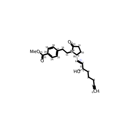 C#CCCC[C@H](O)/C=C/[C@H]1CCC(=O)N1CCc1ccc(C(=O)OC)cc1